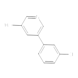 Oc1cncc(-c2cccc(Cl)c2)c1